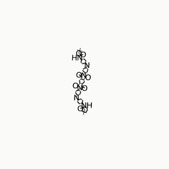 CN(c1ccc(NC(=O)OC(C)(C)C)cc1)c1ccc(-n2c(=O)c3cc4c(=O)n(-c5ccc(N(C)c6ccc(NC(=O)OC(C)(C)C)cc6)cc5)c(=O)c4cc3c2=O)cc1